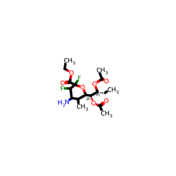 CCOC(=O)C1(F)OC([C@H](OC(C)=O)[C@@H](CC)OC(C)=O)C(C)C(N)C1F